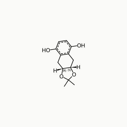 CC1(C)O[C@H]2Cc3c(O)ccc(O)c3C[C@H]2O1